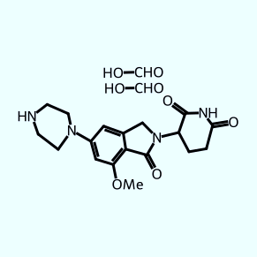 COc1cc(N2CCNCC2)cc2c1C(=O)N(C1CCC(=O)NC1=O)C2.O=CO.O=CO